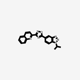 CC(C)n1nnc2cc(-c3nc(-c4ccc5ccccc5n4)no3)ccc21